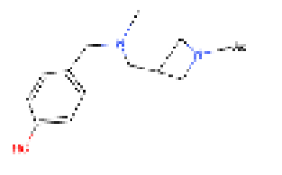 CC(=O)N1CC(CN(C)Cc2ccc(O)cc2)C1